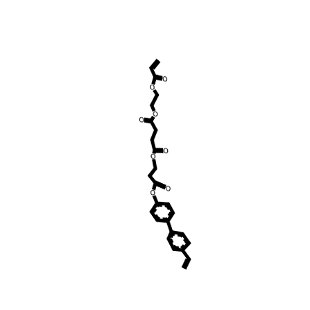 C=CC(=O)OCCOC(=O)CCC(=O)OCCC(=O)Oc1ccc(-c2ccc(C=C)cc2)cc1